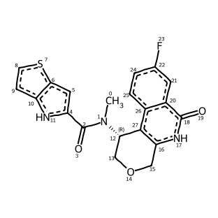 CN(C(=O)c1cc2sccc2[nH]1)[C@H]1COCc2[nH]c(=O)c3cc(F)ccc3c21